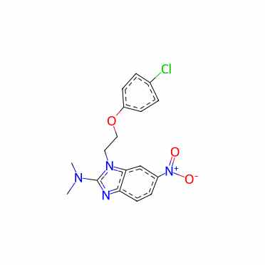 CN(C)c1nc2ccc([N+](=O)[O-])cc2n1CCOc1ccc(Cl)cc1